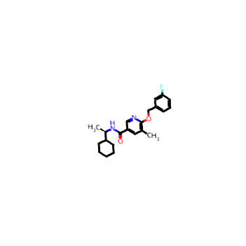 Cc1cc(C(=O)N[C@H](C)C2CCCCC2)cnc1OCc1cccc(F)c1